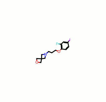 Fc1cc(I)ccc1OCCCN1CC2(COC2)C1